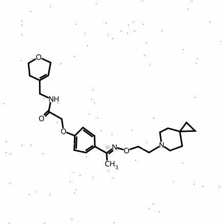 C/C(=N\OCCN1CCC2(CC1)CC2)c1ccc(OCC(=O)NCC2=CCOCC2)cc1